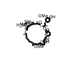 CO[C@H]1C[C@@H]2CC[C@@H](C)[C@@](O)(O2)C(=O)C(=O)N2CCCC[C@H]2C(=O)O[C@H]([C@H](C)C[C@@H]2CC[C@@H](O)[C@H](OC)C2)CC(=O)[C@H](C)/C=C(\C)[C@@H](O)[C@@H](OC)C(=O)[C@H](C)C[C@H](C)/C=C/C=C/C=C/1C.[SiH3]O[SiH3]